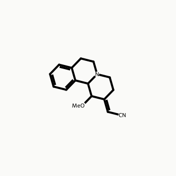 COC1C(=CC#N)CCN2CCc3ccccc3C12